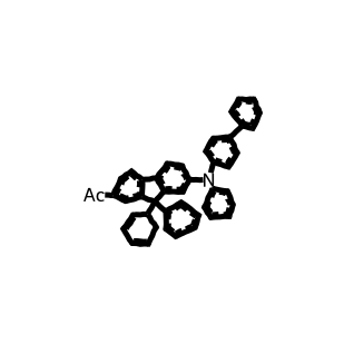 CC(=O)c1ccc2c(c1)C(c1ccccc1)(C1C=CC=CC1)c1cc(N(c3ccccc3)c3ccc(-c4ccccc4)cc3)ccc1-2